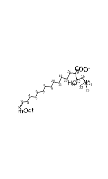 CCCCCCCC/C=C\CCCCCCCCCCCCC(C(=O)[O-])C(O)C[N+](C)(C)C